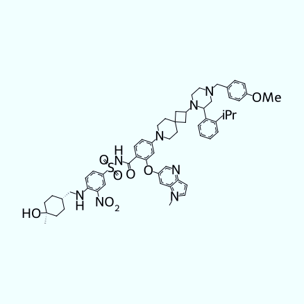 COc1ccc(CN2CCN(C3CC4(CCN(c5ccc(C(=O)NS(=O)(=O)c6ccc(NC[C@H]7CC[C@](C)(O)CC7)c([N+](=O)[O-])c6)c(Oc6cnc7ccn(C)c7c6)c5)CC4)C3)C(c3ccccc3C(C)C)C2)cc1